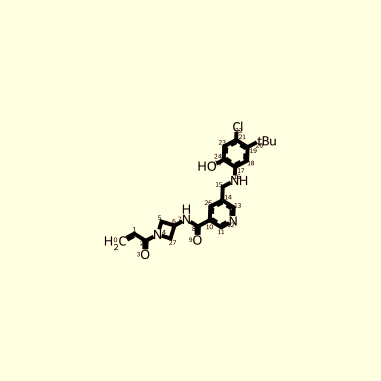 C=CC(=O)N1CC(NC(=O)c2cncc(CNc3cc(C(C)(C)C)c(Cl)cc3O)c2)C1